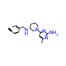 C#C/C=C\C(=C/C)CN[C@@H]1CCCN(c2cc(C)nc(N)n2)C1